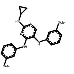 COc1cccc(Nc2cnc(NC3CC3)nc2Nc2cccc(OC)c2)c1